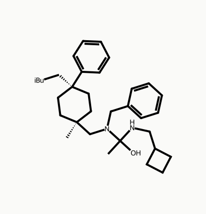 CCC(C)C[C@]1(c2ccccc2)CC[C@@](C)(CN(Cc2ccccc2)C(C)(O)NCC2CCC2)CC1